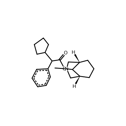 CN1C[C@H]2CCC[C@@H](C1)C2OC(=O)C(c1ccccc1)C1CCCC1